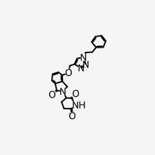 O=C1CCC(N2Cc3c(OCc4cn(CCc5ccccc5)nn4)cccc3C2=O)C(=O)N1